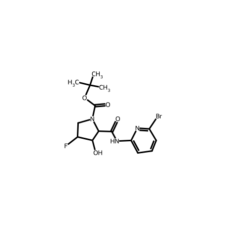 CC(C)(C)OC(=O)N1CC(F)C(O)C1C(=O)Nc1cccc(Br)n1